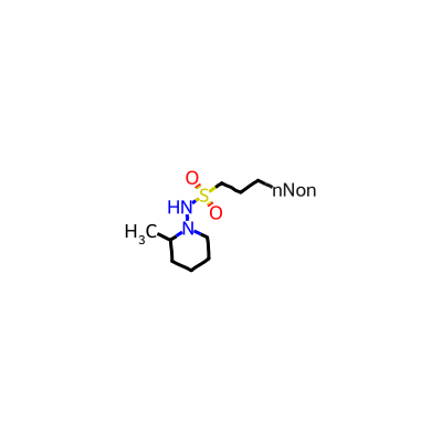 CCCCCCCCCCCCS(=O)(=O)NN1CCCCC1C